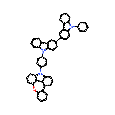 c1ccc(-n2c3ccccc3c3cc(-c4ccc5c(c4)c4ccccc4n5-c4ccc(-n5c6cccc7oc8ccccc8c8cccc5c8c76)cc4)ccc32)cc1